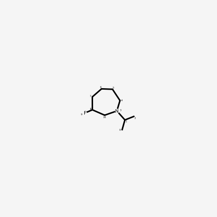 CC(C)N1CCCCC(F)C1